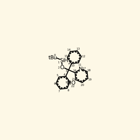 CC(C)(C)[SiH2]OC(c1ccccc1)(c1ccccc1)c1ncccc1O